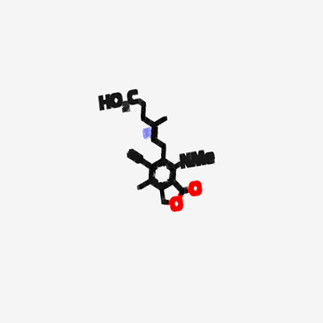 C#Cc1c(C)c2c(c(NC)c1C/C=C(\C)CCC(=O)O)C(=O)OC2